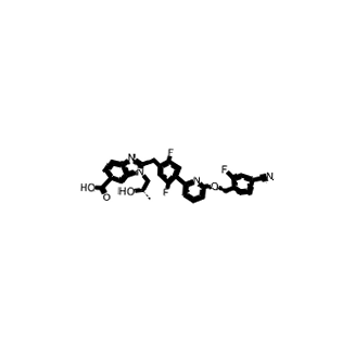 C[C@H](O)Cn1c(Cc2cc(F)c(-c3cccc(OCc4ccc(C#N)cc4F)n3)cc2F)nc2ccc(C(=O)O)cc21